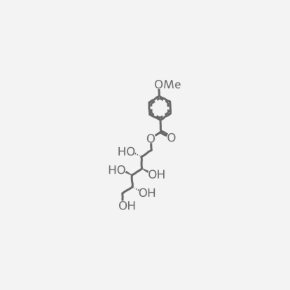 COc1ccc(C(=O)OC[C@@H](O)[C@@H](O)[C@H](O)[C@H](O)CO)cc1